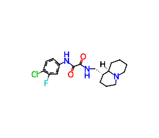 O=C(NC[C@H]1CCCN2CCCC[C@H]12)C(=O)Nc1ccc(Cl)c(F)c1